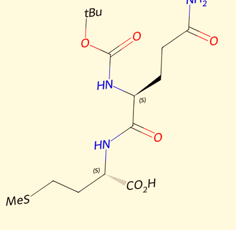 CSCC[C@H](NC(=O)[C@H](CCC(N)=O)NC(=O)OC(C)(C)C)C(=O)O